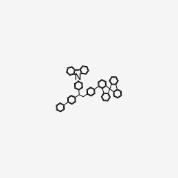 c1ccc(-c2ccc(C(Cc3ccc(-c4cccc5c4-c4ccccc4C54c5ccccc5-c5ccccc54)cc3)c3ccc(-n4c5ccccc5c5ccccc54)cc3)cc2)cc1